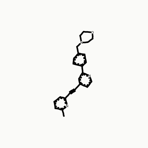 Cc1cccc(C#Cc2ccnc(-c3ccc(CN4CCOCC4)cc3)c2)n1